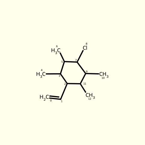 C=CC1C(C)C(C)C(Cl)C(C)C1C